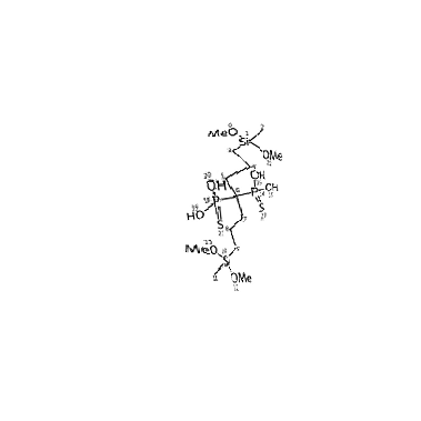 CO[Si](C)(CCCC(CCC[Si](C)(OC)OC)(P(O)(O)=S)P(O)(O)=S)OC